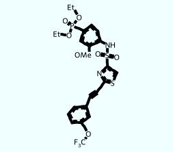 CCOP(=O)(OCC)c1ccc(NS(=O)(=O)c2csc(C#Cc3cccc(OC(F)(F)F)c3)n2)c(OC)c1